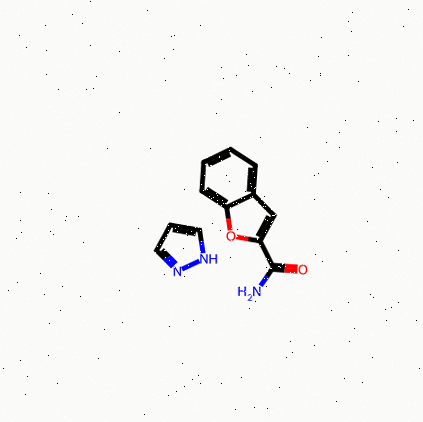 NC(=O)c1cc2ccccc2o1.c1cn[nH]c1